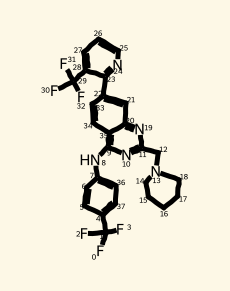 FC(F)(F)c1ccc(Nc2nc(CN3CCCCC3)nc3cc(-c4ncccc4C(F)(F)F)ccc23)cc1